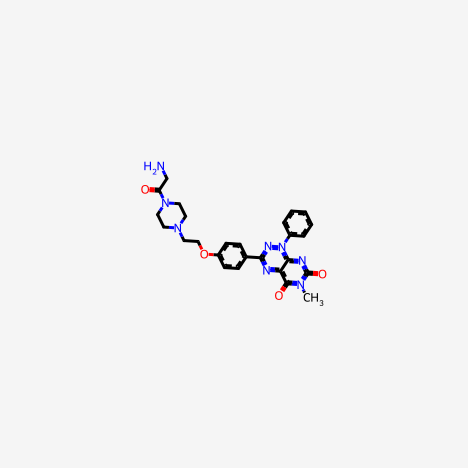 Cn1c(=O)nc2n(-c3ccccc3)nc(-c3ccc(OCCN4CCN(C(=O)CN)CC4)cc3)nc-2c1=O